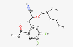 CCCCC(CC)COC(C#N)Cc1cc(F)c(F)cc1C(=O)CC